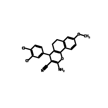 COc1ccc2c(c1)CCC1=C2OC(N)=C(C#N)C1c1ccc(Cl)c(Cl)c1